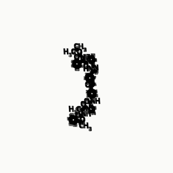 CC(C)OC(=O)N[C@@H](C(=O)N1CCC[C@H]1c1ncc(-c2ccc3oc(-c4ccc(NC(=O)[C@@H]5CCCN5C(=O)[C@@H](C)NC(=O)OC(C)c5ccccc5)cc4)cc3c2)[nH]1)c1ccccc1